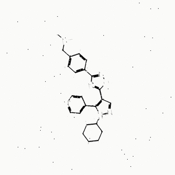 CNCc1ccc(-c2noc(-c3cnn(C4CCCCC4)c3-c3ccncc3)n2)cc1